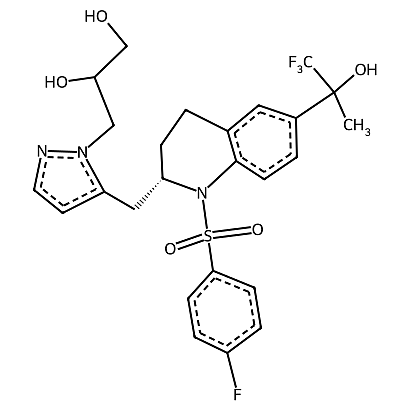 CC(O)(c1ccc2c(c1)CC[C@@H](Cc1ccnn1CC(O)CO)N2S(=O)(=O)c1ccc(F)cc1)C(F)(F)F